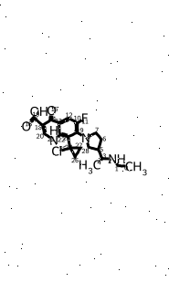 CCNC(C)C1CCN(c2c(F)cc3c(=O)c(C(=O)O)c[nH]c3c2C2(Cl)CC2)C1